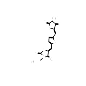 CCN1C(=O)/C(=C/c2ccc(/C=C3\SC(=S)C(C)C3=O)s2)SC1=S